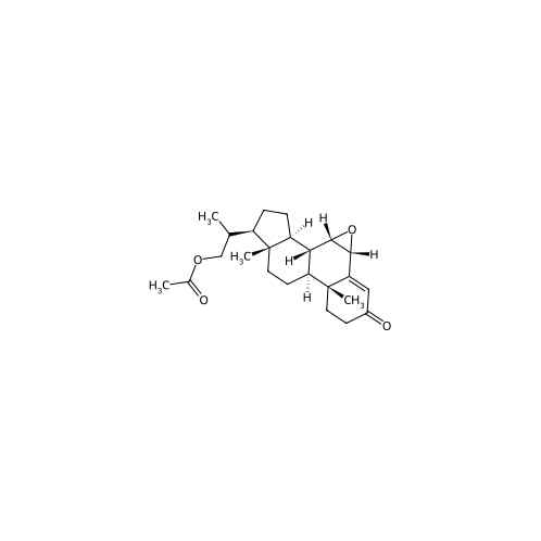 CC(=O)OCC(C)[C@H]1CC[C@H]2[C@@H]3[C@@H]4O[C@@H]4C4=CC(=O)CC[C@]4(C)[C@H]3CC[C@]12C